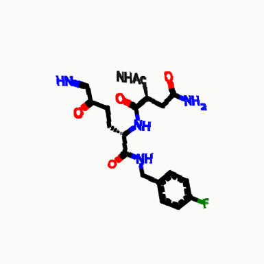 CC(=O)N[C@@H](CC(N)=O)C(=O)N[C@@H](CCC(=O)C=N)C(=O)NCc1ccc(F)cc1